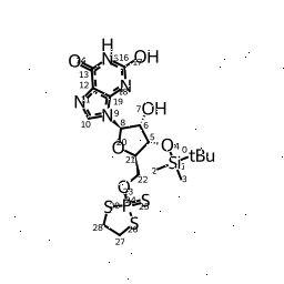 CC(C)(C)[Si](C)(C)O[C@H]1[C@@H](O)[C@H](n2cnc3c(=O)[nH]c(O)nc32)O[C@@H]1COP1(=S)SCCS1